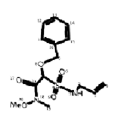 C=CCNS(=O)(=O)C(OCc1ccccc1)C(=O)N(C)OC